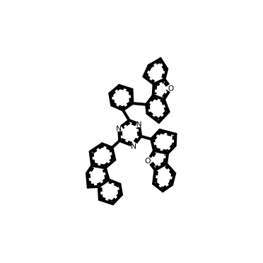 c1ccc(-c2cccc3oc4ccccc4c23)c(-c2nc(-c3ccc4ccc5ccccc5c4c3)nc(-c3cccc4c3oc3ccccc34)n2)c1